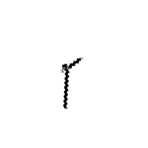 CCCCCCCCCCCCCCCCCc1n(CCCCCCC)cc[n+]1C